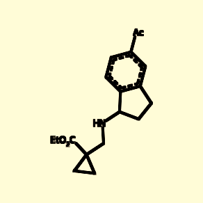 CCOC(=O)C1(CNC2CCc3cc(C(C)=O)ccc32)CC1